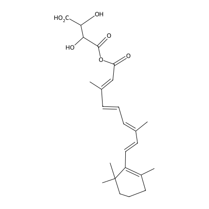 CC(C=CC1=C(C)CCCC1(C)C)=CC=CC(C)=CC(=O)OC(=O)C(O)C(O)C(=O)O